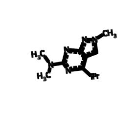 CC(C)c1nc(N(C)C)nc2nn(C)cc12